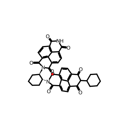 O=C1NC(=O)c2ccc3c4c(ccc1c24)C(=O)N([C@@H]1CCCC[C@H]1N1C(=O)c2ccc4c5c(ccc(c25)C1=O)C(=O)C(C1CCCCC1)C4=O)C3=O